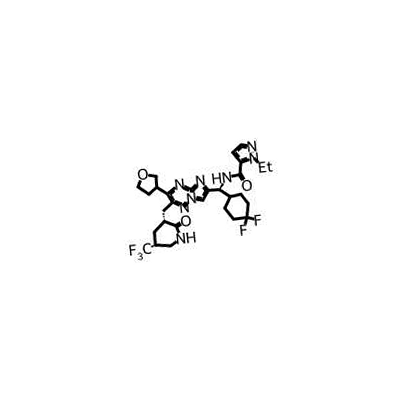 CCn1nccc1C(=O)N[C@H](c1cn2nc(C[C@H]3C[C@@H](C(F)(F)F)CNC3=O)c(C3CCOC3)nc2n1)C1CCC(F)(F)CC1